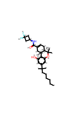 CCCCCCC(C)(C)c1cc(O)c2c(c1)OC(C)(C)[C@@H]1CC=C(C(=O)NC3CC(F)(F)C3)C[C@@H]21